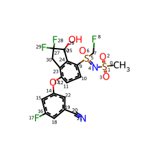 CS(=O)(=O)N=S(=O)(CF)c1ccc(Oc2cc(F)cc(C#N)c2)c2c1[C@H](O)C(F)(F)C2